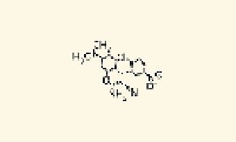 CN(C)c1ccc2c(c1)OC(N)=C(C#N)C2c1cc([N+](=O)[O-])ccc1Cl